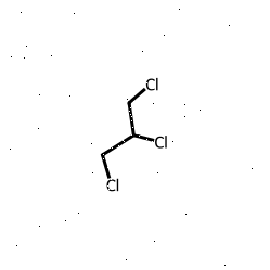 ClC[C](Cl)CCl